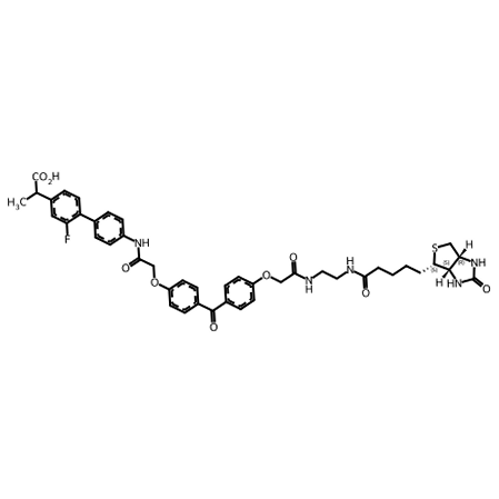 CC(C(=O)O)c1ccc(-c2ccc(NC(=O)COc3ccc(C(=O)c4ccc(OCC(=O)NCCNC(=O)CCCC[C@@H]5SC[C@@H]6NC(=O)N[C@@H]65)cc4)cc3)cc2)c(F)c1